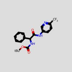 CC(C)(C)OC(=O)NC(C(=O)Nc1ccc(C(F)(F)F)nc1)c1ccccc1